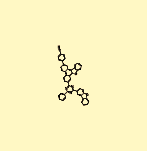 N#Cc1ccc(-c2ccc3c4ccc(-c5nc(-c6ccccc6)nc(-c6ccc7oc8ccccc8c7c6)n5)cc4c4oc5ccccc5c4c3c2)cc1